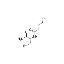 CC[C@H](C)CCCC(=O)N[C@@H](CC(C)C)C(N)=O